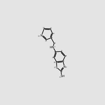 Sc1nc2ccc(NCc3cccnc3)cc2s1